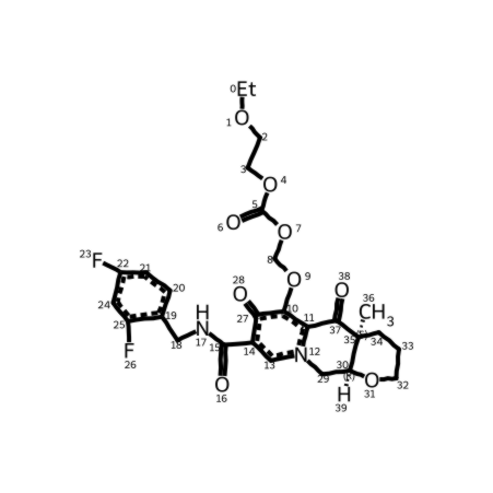 CCOCCOC(=O)OCOc1c2n(cc(C(=O)NCc3ccc(F)cc3F)c1=O)C[C@@H]1OCCC[C@]1(C)C2=O